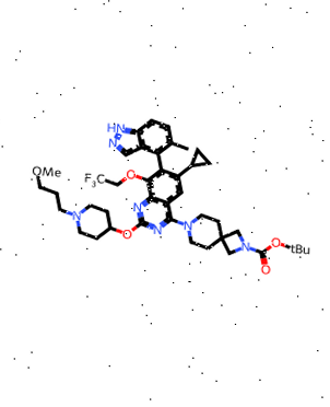 COCCCN1CCC(Oc2nc(N3CCC4(CC3)CN(C(=O)OC(C)(C)C)C4)c3cc(C4CC4)c(-c4c(C)ccc5[nH]ncc45)c(OCC(F)(F)F)c3n2)CC1